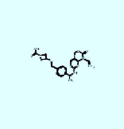 CCN1C(=O)OCc2cnc(N[C@@H](C)c3ccc(COC4CN(C(=O)O)C4)cc3)nc21